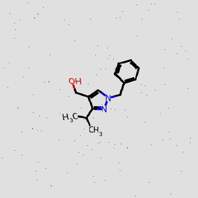 CC(C)c1nn(Cc2ccccc2)cc1CO